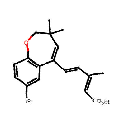 CCOC(=O)C=C(C)C=CC1=CC(C)(C)COc2ccc(C(C)C)cc21